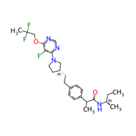 CC[C@@H](C)NC(=O)C(C)c1ccc(CC[C@@H]2CCN(c3ncnc(OCC(C)(F)F)c3F)C2)cc1